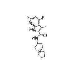 Cc1cc(F)c2c(C)c(C(=O)NC3CC[Si]4(CCCC4)CC3)[nH]c2n1